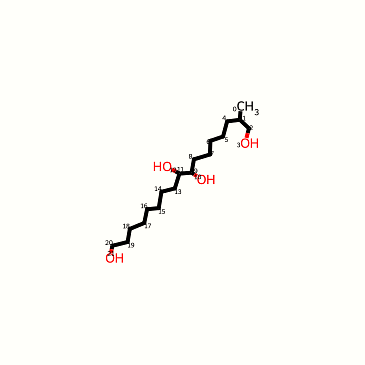 CC(CO)CCCCCC(O)C(O)CCCCCCCCO